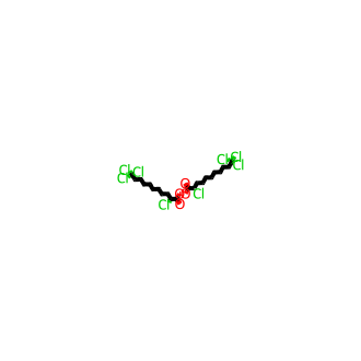 O=C(OOC(=O)C(Cl)CCCCCCCCC(Cl)(Cl)Cl)C(Cl)CCCCCCCCC(Cl)(Cl)Cl